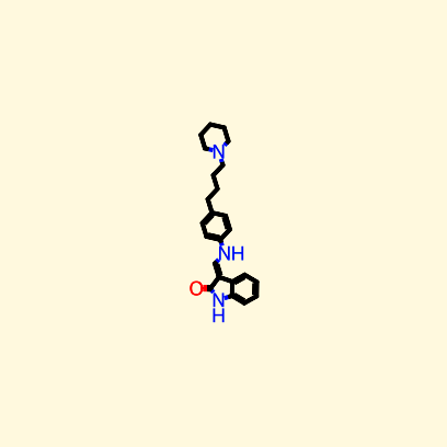 O=C1Nc2ccccc2/C1=C\Nc1ccc(CCCCN2CCCCC2)cc1